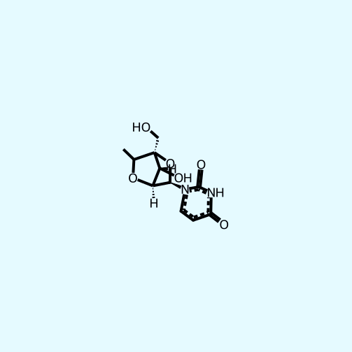 CC1O[C@@H]2[C@H](n3ccc(=O)[nH]c3=O)O[C@@]1(CO)[C@@H]2O